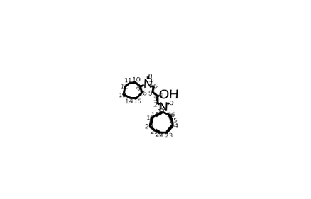 CN(CC(O)CCN(C)C1CCCCCCC1)c1ccccccccc1